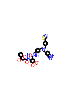 COc1cc(NC(=O)c2cc(=O)c3ccccc3o2)c(C(=O)NCc2ccc(CN(Cc3ccc(-c4cncs4)cc3)Cc3ccc4c(cnn4C)c3)cc2)cc1OC